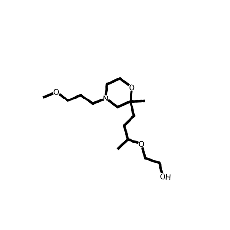 COCCCN1CCOC(C)(CCC(C)OCCO)C1